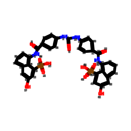 O=C(Nc1ccc(C(=O)Nc2cccc3cc(O)cc(S(=O)(=O)O)c23)cc1)Nc1ccc(C(=O)Nc2cccc3cc(O)cc(S(=O)(=O)O)c23)cc1